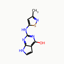 Cc1cc(Nc2nc(O)c3cc[nH]c3n2)sn1